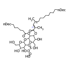 CCCCCCCCCCCCCCCCCC[C@H](C)/C=C(\C)C(=O)OC1C(O)C(CO)OC(OC2OC(CO)C(O)C(O)C2OSOOO)C1OC(=O)CCCCCCCCCCCCCCC